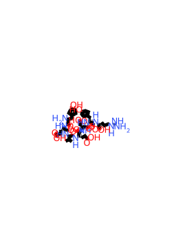 CC(C)[C@H](NC(=O)[C@H](CCC(=O)O)NC(=O)[C@@H](N)Cc1ccc(O)cc1)C(=O)N[C@@H](CCC(=O)O)C(=O)N[C@@H](CC(=O)O)C(=O)N[C@@H](Cc1ccc(O)cc1)C(=O)N[C@@H](CCCNC(=N)N)C(=O)O